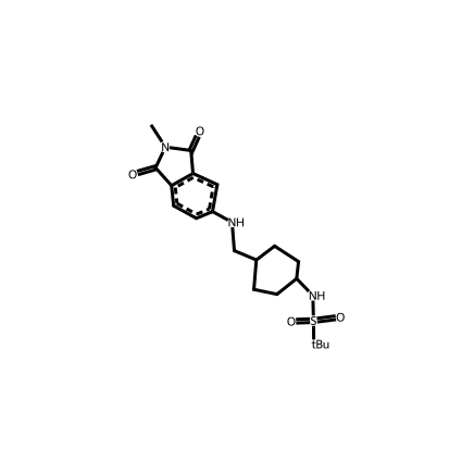 CN1C(=O)c2ccc(NCC3CCC(NS(=O)(=O)C(C)(C)C)CC3)cc2C1=O